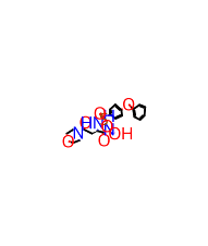 O=C(NO)[C@@H](CC(=O)N1CCOCC1)NS(=O)(=O)c1ccc(Oc2ccccc2)cc1